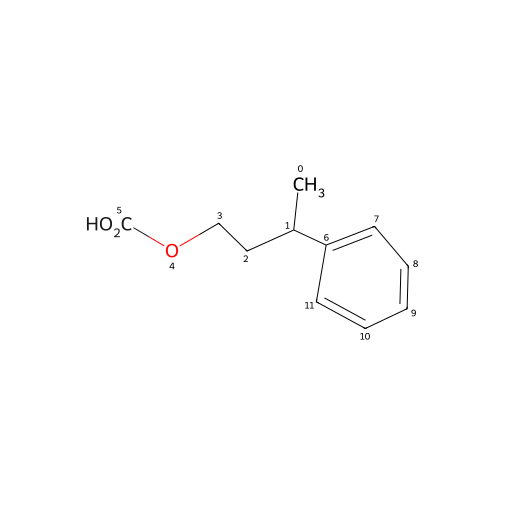 CC(CCOC(=O)O)c1ccccc1